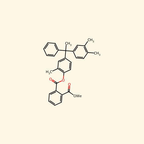 COC(=O)c1ccccc1C(=O)Oc1ccc(C(C)(c2ccccc2)c2ccc(C)c(C)c2)cc1C